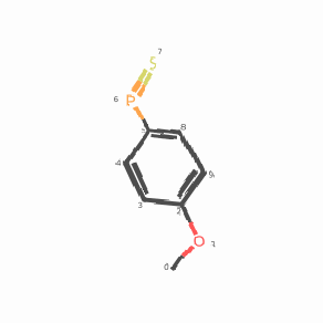 COc1ccc(P=S)cc1